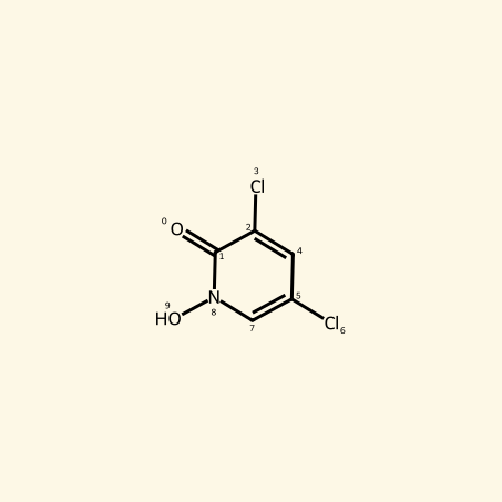 O=c1c(Cl)cc(Cl)cn1O